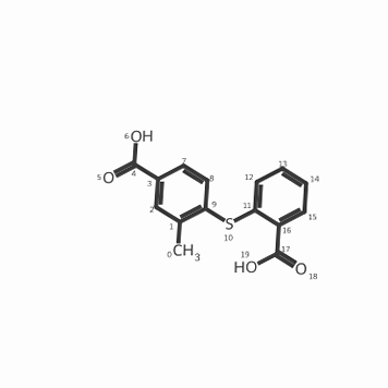 Cc1cc(C(=O)O)ccc1Sc1ccccc1C(=O)O